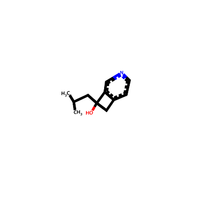 CC(C)CC1(O)Cc2ccncc21